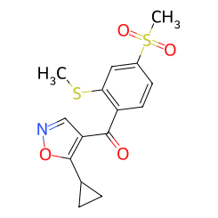 CSc1cc(S(C)(=O)=O)ccc1C(=O)c1cnoc1C1CC1